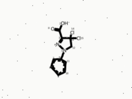 O=C(O)C1=NN(c2ccccc2)CC1(Cl)Cl